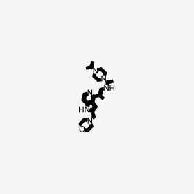 C/C(=C\NC(C)N1CCN(C(C)C)CC1)c1nccc2[nH]c(CN3CCOCC3)cc12